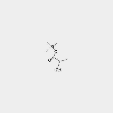 CC(O)C(=O)O[Si](C)(C)C